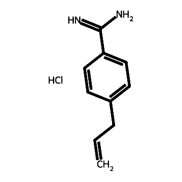 C=CCc1ccc(C(=N)N)cc1.Cl